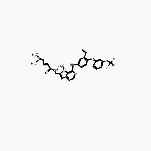 CN(C)C/C=C/C(=O)NCc1cc2ncnc(Nc3ccc(Oc4cccc(OC(F)(F)F)c4)c(CI)c3)c2n1C